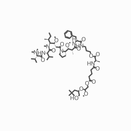 CC[C@H](C)[C@@H]([C@@H](CC(=O)N1CCC[C@H]1[C@H](OC)[C@@H](C)C(=O)N[C@@H](Cc1ccccc1)C(=O)NCCCOC(=O)[C@@H](C)NC(=O)CCCC(=O)OCC(OC)OC(CO)CC(C)(C)C)OC)N(C)C(=O)[C@@H](NC(=O)[C@H](C(C)C)N(C)C)C(C)C